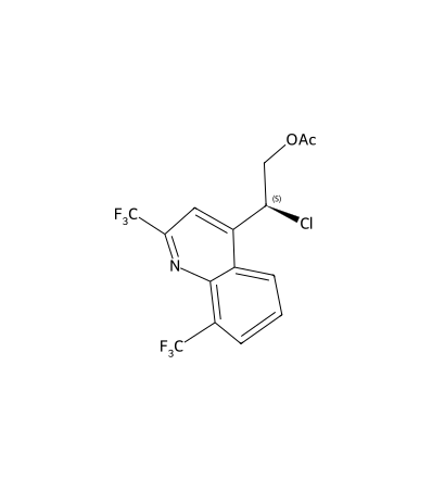 CC(=O)OC[C@@H](Cl)c1cc(C(F)(F)F)nc2c(C(F)(F)F)cccc12